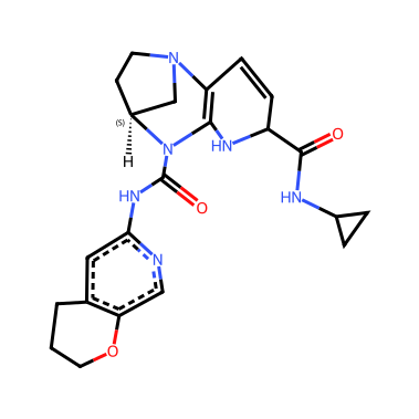 O=C(NC1CC1)C1C=CC2=C(N1)N(C(=O)Nc1cc3c(cn1)OCCC3)[C@H]1CCN2C1